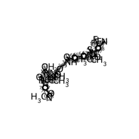 Cc1ncoc1-c1ccc(CNC(=O)[C@@H]2C[C@@H](O)CN2C(=O)C(NC(=O)COCCCNC(=O)c2ccc(-c3ccc(N4C(=S)N(c5ccc(C#N)c(C(F)(F)F)c5)C(=O)C4(C)C)cc3)cc2)C(C)(C)C)cc1